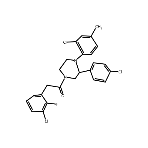 Cc1ccc(N2CCN(C(=O)Cc3cccc(Cl)c3F)CC2c2ccc(Cl)cc2)c(Cl)c1